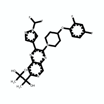 CC(C)(O)C(C)(O)c1cc2nc(-c3cnn(C(F)F)c3)c(N3CCC(Oc4ccc(F)cc4F)CC3)nc2cn1